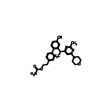 Cc1nc(C(C)c2cc(C#N)ccc2-c2ccc(CCOC(N)=O)cc2)cc(N2CCOCC2)n1